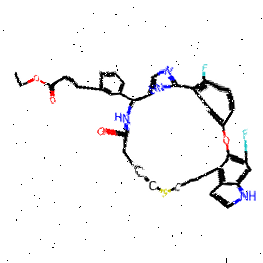 CCOC(=O)CCc1cccc(C2NC(=O)CCCSCCc3c(c(F)cc4[nH]ccc34)Oc3ccc(F)c(c3)-c3ncc2[nH]3)c1